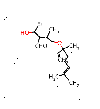 C=CC(C)(CCC=C(C)C)OCC(C)C(C=O)C(O)CC